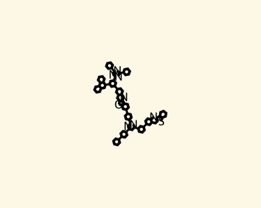 c1ccc(-c2ccc(-c3cc(-c4cccc(-c5ccc6nc7c(cc6c5)sc5ccccc57)c4)nc(-c4ccc(-c5ccc6c(c5)oc5cc7cc(-c8cc(-c9nc(-c%10ccccc%10)nc(-c%10ccccc%10)n9)cc(-c9cc%10ccccc%10c%10ccccc9%10)c8)ccc7nc56)cc4)n3)cc2)cc1